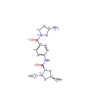 CO[C@@H]1C[C@H](C(=O)Nc2ccc(C(=O)N3CCC(N)C3)cc2)N(C(=O)O)C1